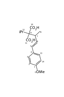 COc1ccc(C=CC(C)C(C(=O)O)(C(=O)O)C(C)C)cc1